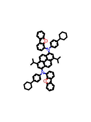 CC(C)c1cc(N(c2ccc(C3CCCCC3)cc2)c2cccc3c2oc2ccccc23)c2ccc3c(C(C)C)cc(N(c4ccc(C5CCCCC5)cc4)c4cccc5c4oc4ccccc45)c4ccc1c2c34